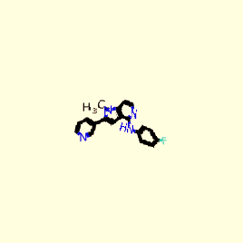 Cn1c(-c2cccnc2)cc2c(Nc3ccc(F)cc3)nccc21